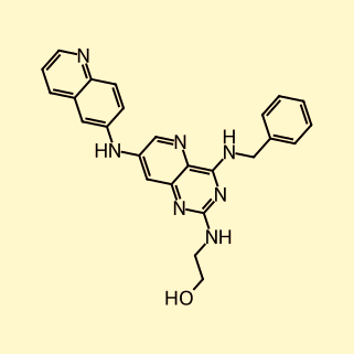 OCCNc1nc(NCc2ccccc2)c2ncc(Nc3ccc4ncccc4c3)cc2n1